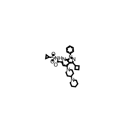 O=C(NS(=O)(=O)C1CC1)c1cc(N2CCC(N3CCCCC3)CC2)c2c(C3CCC3)nn(-c3ccccc3)c2n1